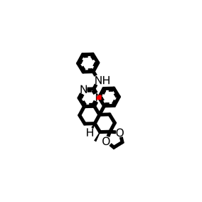 C[C@H]1[C@@H]2CCc3cnc(Nc4ccccc4)nc3C2(c2ccccc2)CCC12OCCO2